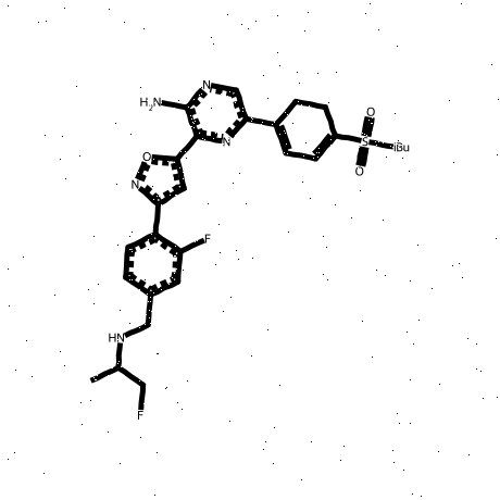 CCC(C)S(=O)(=O)C1=CC=C(c2cnc(N)c(-c3cc(-c4ccc(CNC(C)CF)cc4F)no3)n2)CC1